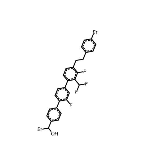 CCc1ccc(CCc2ccc(-c3ccc(-c4ccc(C(O)CC)cc4)c(F)c3)c(C(F)F)c2F)cc1